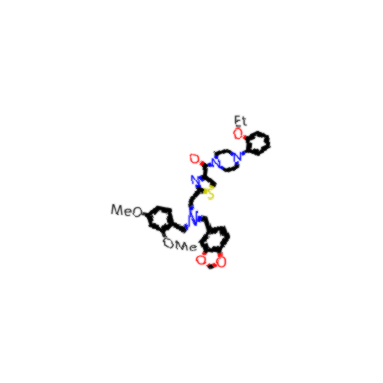 CCOc1ccccc1N1CCN(C(=O)c2csc(CN(Cc3ccc4c(c3)OCO4)Cc3ccc(OC)cc3OC)n2)CC1